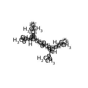 C=C(C)C(=O)OCCNC(=O)OC(COc1ccc(C(C)(C)c2ccccc2)cc1)COc1ccc(S(=O)(=O)c2ccc(OCC(COc3ccc(C(C)(C)c4ccccc4)cc3)OC(=O)NCCOC(=O)C(=C)C)cc2)cc1